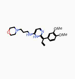 C=C/C(=C1/N=CC=C(NCCCN2CCOCC2)N1)c1ccc(OC)c(OC)c1